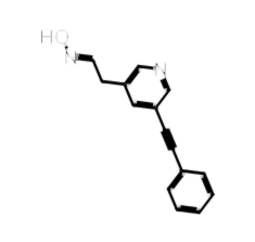 ON=CCc1cncc(C#Cc2ccccc2)c1